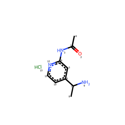 CC(=O)Nc1cc(C(C)N)ccn1.Cl